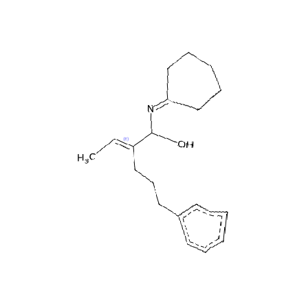 C/C=C(\CCCc1ccccc1)C(O)N=C1CCCCC1